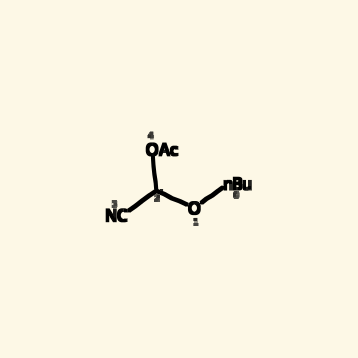 CCCCO[C](C#N)OC(C)=O